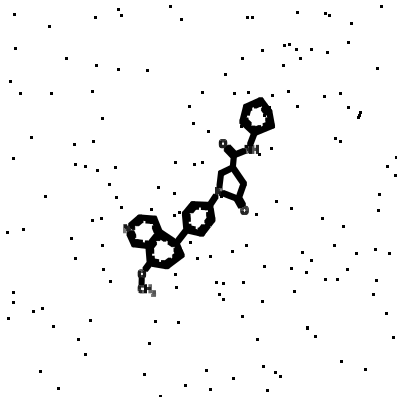 COc1ccc(-c2ccc(N3CC(C(=O)Nc4ccccc4)CC3=O)cc2)c2ccncc12